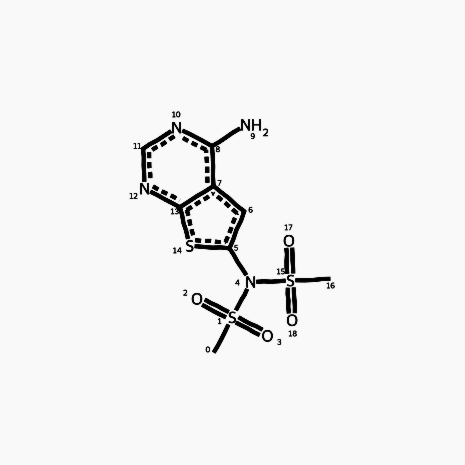 CS(=O)(=O)N(c1cc2c(N)ncnc2s1)S(C)(=O)=O